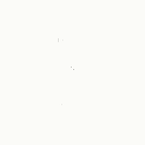 CC1CCCC(C)[N+]1=CCl.[Cl-]